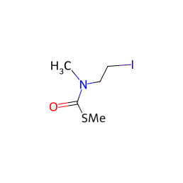 CSC(=O)N(C)CCI